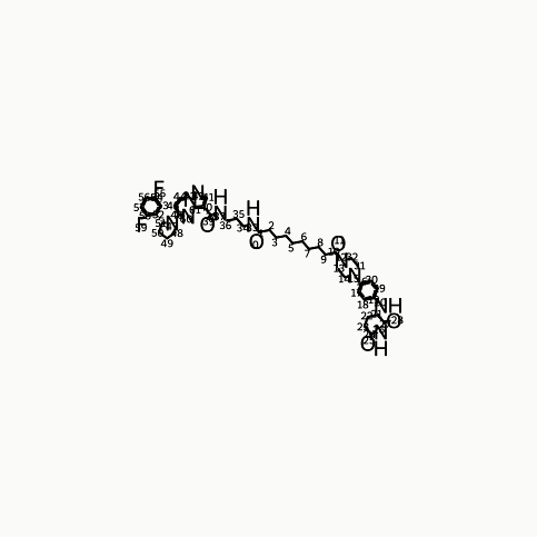 O=C(CCCCCCCCC(=O)N1CCN(c2ccc(NC3CCC(=O)NC3=O)cc2)CC1)NCCCNC(=O)c1cnn2ccc(N3CCC[C@@H]3c3cc(F)ccc3F)nc12